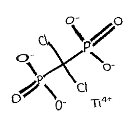 O=P([O-])([O-])C(Cl)(Cl)P(=O)([O-])[O-].[Ti+4]